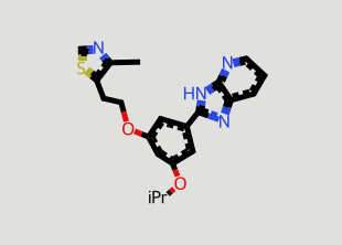 Cc1ncsc1CCOc1cc(OC(C)C)cc(-c2nc3cccnc3[nH]2)c1